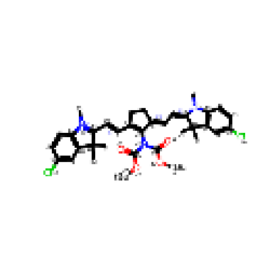 CN1/C(=C/C=C2\CCC(/C=C/C3=[N+](C)c4ccc(Cl)cc4C3(C)C)=C2N(C(=O)OC(C)(C)C)C(=O)OC(C)(C)C)C(C)(C)c2cc(Cl)ccc21